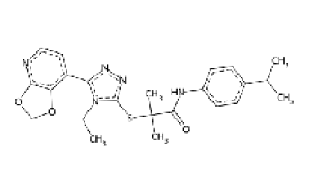 CCn1c(SC(C)(C)C(=O)Nc2ccc(C(C)C)cc2)nnc1-c1ccnc2c1OCO2